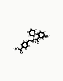 O=C(O)c1ccc(CCNC(=O)c2cc(Br)ccc2N2CCCCC2)cc1